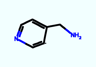 NCc1[c]cncc1